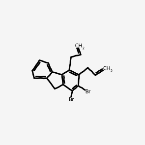 C=CCc1c(Br)c(Br)c2c(c1CC=C)-c1ccccc1C2